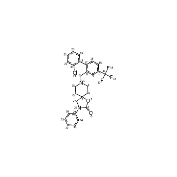 O=C1OC2(CCN(Cc3cc(C(F)(F)F)ccc3-c3ccccc3Cl)CC2)CN1c1ccccc1